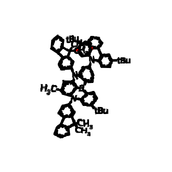 Cc1cc2c3c(c1)N(c1ccc4c(c1)C(C)(C)c1ccccc1-4)c1cc(C(C)(C)C)ccc1B3c1ccc(N(c3ccc(C(C)(C)C)cc3)c3ccc(C(C)(C)C)cc3-c3ccccc3)cc1N2c1ccc2c(c1)C(C)(C)c1ccccc1-2